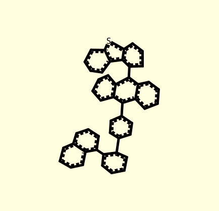 c1ccc(-c2cccc3ccccc23)c(-c2ccc(-c3c4ccccc4c(-c4cccc5sc6ccccc6c45)c4ccccc34)cc2)c1